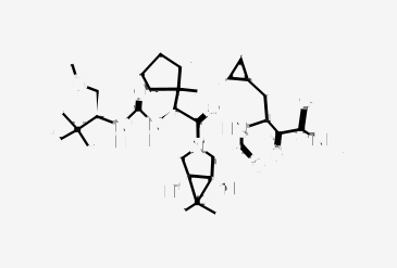 COC[C@@H](NC(=O)N[C@H](C(=O)N1C[C@H]2[C@@H]([C@H]1C(=O)NC(CC1CC1)C(=O)C(N)=O)C2(C)C)C1(C)CCCC1)C(C)(C)C